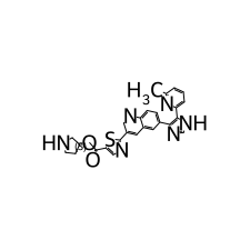 Cc1cccc(-c2[nH]cnc2-c2ccc3ncc(-c4ncc(C(=O)O[C@H]5CCNC5)s4)cc3c2)n1